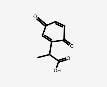 CC(C(=O)O)C1=CC(=O)C=CC1=O